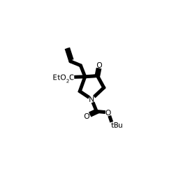 C=CCC1(C(=O)OCC)CN(C(=O)OC(C)(C)C)CC1=O